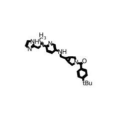 CN(Cc1ncc[nH]1)c1ccc(NCC2C3CN(C(=O)c4ccc(C(C)(C)C)cc4)CC23)cn1